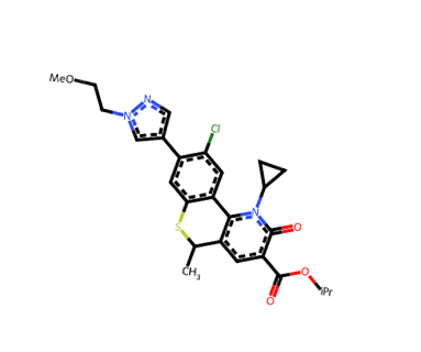 COCCn1cc(-c2cc3c(cc2Cl)-c2c(cc(C(=O)OC(C)C)c(=O)n2C2CC2)C(C)S3)cn1